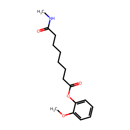 CNC(=O)CCCCCCC(=O)Oc1ccccc1OC